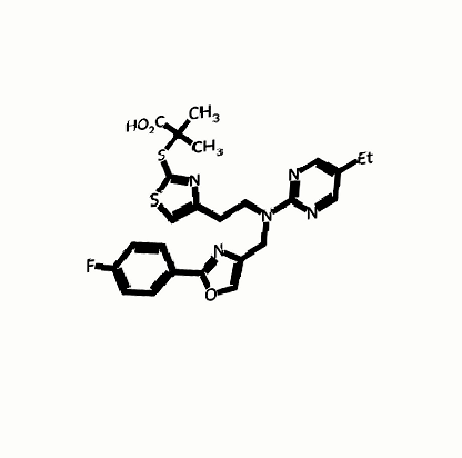 CCc1cnc(N(CCc2csc(SC(C)(C)C(=O)O)n2)Cc2coc(-c3ccc(F)cc3)n2)nc1